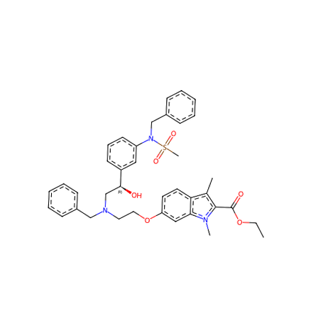 CCOC(=O)c1c(C)c2ccc(OCCN(Cc3ccccc3)C[C@H](O)c3cccc(N(Cc4ccccc4)S(C)(=O)=O)c3)cc2n1C